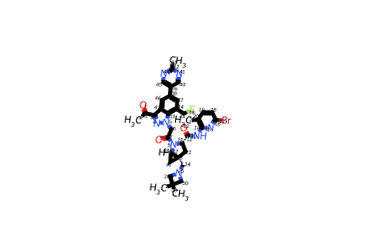 CC(=O)c1nn(CC(=O)N2[C@H](C(=O)Nc3nc(Br)ccc3C)C[C@@]3(CN4CC(C)(C)C4)C[C@@H]23)c2c(CF)cc(-c3cnc(C)nc3)cc12